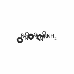 CN(c1nc2ccc(Oc3ccnc(C(=O)NN)c3)cc2o1)C1CCCCC1